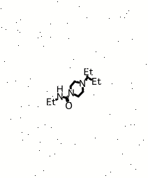 CCNC(=O)N1CCN(C(CC)CC)CC1